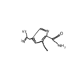 CCC(=N)c1cnc(C(N)=O)c(C)c1